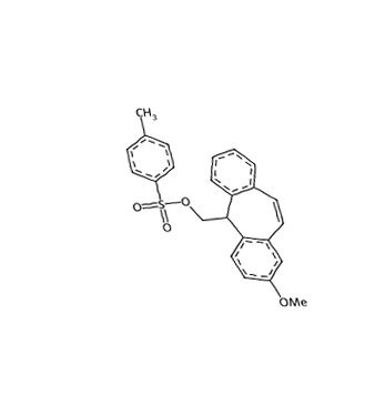 COc1ccc2c(c1)C=Cc1ccccc1C2COS(=O)(=O)c1ccc(C)cc1